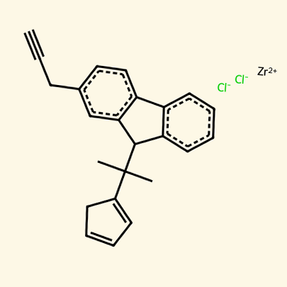 C#CCc1ccc2c(c1)C(C(C)(C)C1=CC=CC1)c1ccccc1-2.[Cl-].[Cl-].[Zr+2]